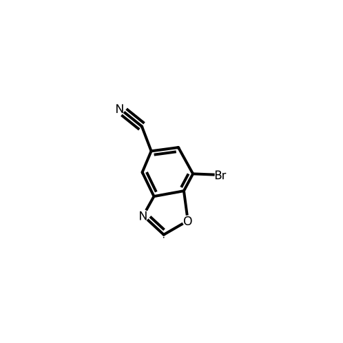 N#Cc1cc(Br)c2o[c]nc2c1